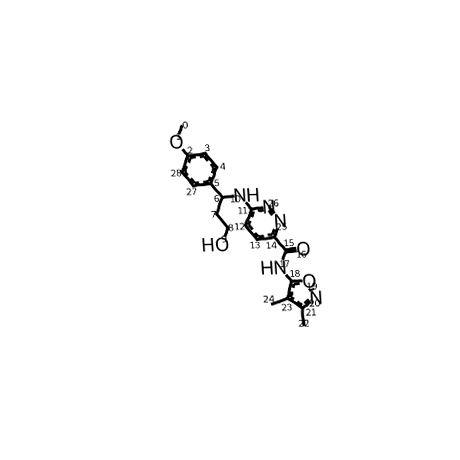 COc1ccc(C(CCO)Nc2ccc(C(=O)Nc3onc(C)c3C)nn2)cc1